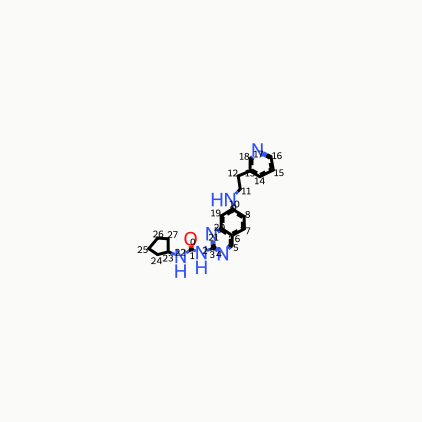 O=C(Nc1ncc2ccc(NCCc3cccnc3)cc2n1)NC1CCCC1